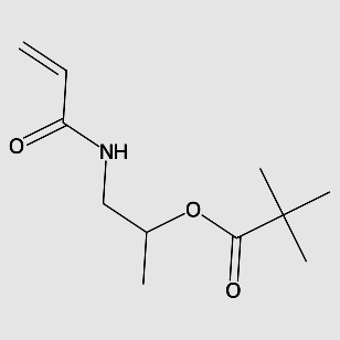 C=CC(=O)NCC(C)OC(=O)C(C)(C)C